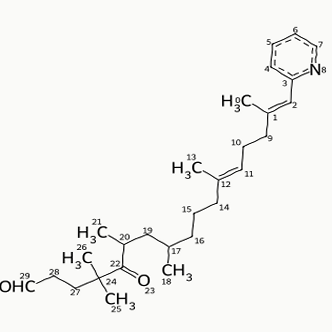 C/C(=C\c1ccccn1)CC/C=C(\C)CCCC(C)CC(C)C(=O)C(C)(C)CCC=O